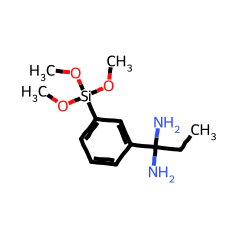 CCC(N)(N)c1cccc([Si](OC)(OC)OC)c1